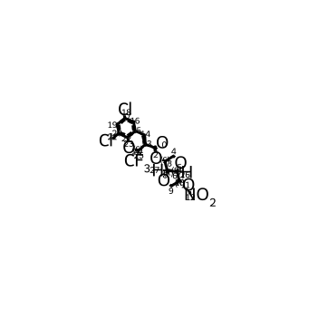 O=C(O[C@H]1CO[C@H]2[C@@H]1OC[C@H]2O[N+](=O)[O-])C1=Cc2cc(Cl)cc(Cl)c2O[C@@H]1C(F)(F)F